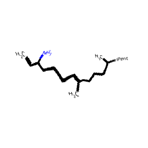 C=CC(N)CCCCC(C)CCCC(C)CCCCC